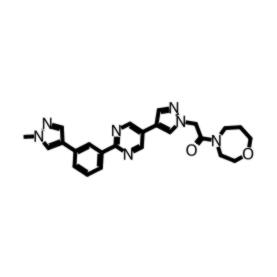 Cn1cc(-c2cccc(-c3ncc(-c4cnn(CC(=O)N5CCCOCC5)c4)cn3)c2)cn1